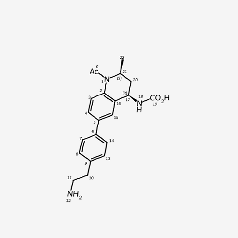 CC(=O)N1c2ccc(-c3ccc(CCN)cc3)cc2[C@H](NC(=O)O)C[C@@H]1C